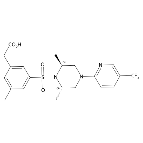 Cc1cc(CC(=O)O)cc(S(=O)(=O)N2[C@@H](C)CN(c3ccc(C(F)(F)F)cn3)C[C@@H]2C)c1